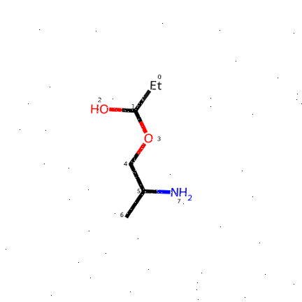 CCC(O)OCC(C)N